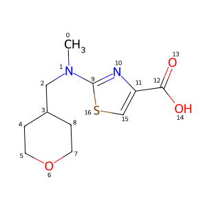 CN(CC1CCOCC1)c1nc(C(=O)O)cs1